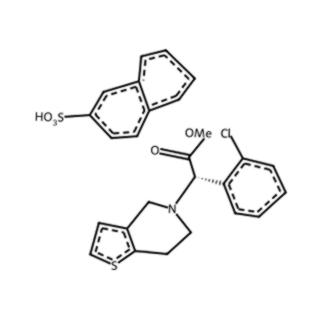 COC(=O)[C@H](c1ccccc1Cl)N1CCc2sccc2C1.O=S(=O)(O)c1ccc2ccccc2c1